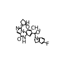 Cc1cc2c(cc1C(=O)N1CCc3cc(F)ccc31)[nH]c(=O)c1cnc([C@H]3CCC[C@H]3O)n12